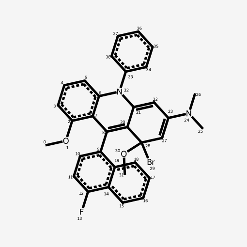 COc1cccc2c1C(c1ccc(F)c3ccccc13)=C1C(=CC(N(C)C)=CC1(Br)OC)N2c1ccccc1